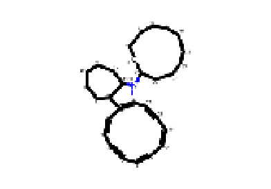 C1=C\C=C/C=C\C(C2CCCCCC2NC2CCCCCCCCCC2)=C/C=C\C=C/1